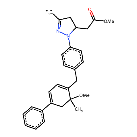 COC(=O)CC1CC(C(F)(F)F)=NN1c1ccc(CC2=CC=C(c3ccccc3)CC2(C)OC)cc1